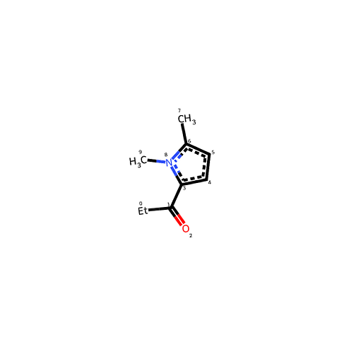 CCC(=O)c1ccc(C)n1C